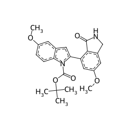 COc1cc2c(c(-c3cc4cc(OC)ccc4n3C(=O)OC(C)(C)C)c1)C(=O)NC2